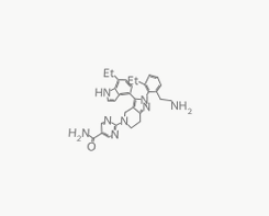 CCc1cccc(CCN)c1-n1nc2c(c1-c1ccc(CC)c3[nH]ccc13)CN(c1ncc(C(N)=O)cn1)CC2